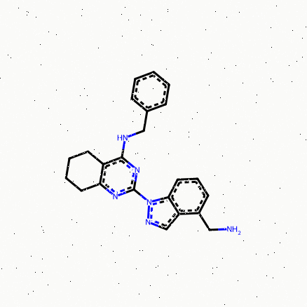 NCc1cccc2c1cnn2-c1nc2c(c(NCc3ccccc3)n1)CCCC2